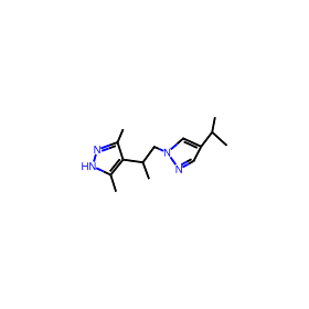 Cc1n[nH]c(C)c1C(C)Cn1cc(C(C)C)cn1